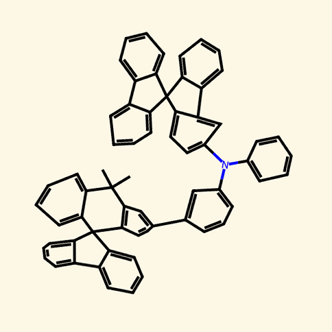 CC1(C)c2ccccc2C2(c3ccccc3-c3ccccc32)c2ccc(-c3cccc(N(c4ccccc4)c4ccc5c(c4)-c4ccccc4C54c5ccccc5-c5ccccc54)c3)cc21